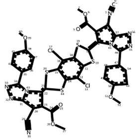 [C-]#[N+]c1c(C(=O)OC)c(=C2Sc3c(Cl)c4c(c(Cl)c3S2)SC(=c2c(C(=O)OC)c(C#N)c3nnc(-c5ccc(OC)cc5)n23)S4)n2c(-c3ccc(OC)cc3)nnc12